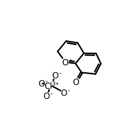 O=C1C=CC=C2C=CC[O+]=C12.[O-][Cl+3]([O-])([O-])[O-]